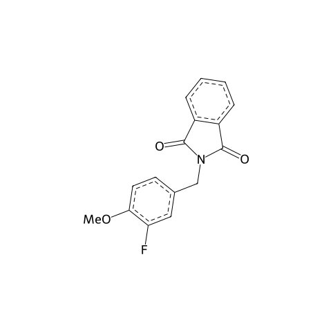 COc1ccc(CN2C(=O)c3ccccc3C2=O)cc1F